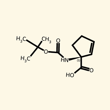 CC(C)(C)OC(=O)N[C@]1(C(=O)O)C=CCC1